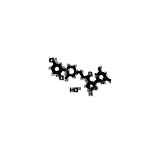 Cc1cc(C)nc(-c2n[nH]cc2C(=O)CCN2CCN(c3cc(Cl)ccc3Cl)C(C)C2)n1.Cl